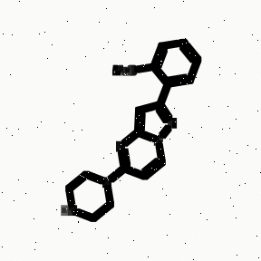 COc1ccccc1-c1cc2nc(N3CCNCC3)ccn2n1